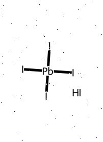 I.[I][Pb]([I])([I])[I]